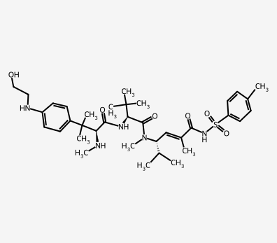 CN[C@H](C(=O)N[C@H](C(=O)N(C)[C@H](/C=C(\C)C(=O)NS(=O)(=O)c1ccc(C)cc1)C(C)C)C(C)(C)C)C(C)(C)c1ccc(NCCO)cc1